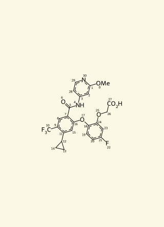 COc1cc(NC(=O)c2cc(C(F)(F)F)c(C3CC3)cc2Oc2ccc(F)cc2OCC(=O)O)ccn1